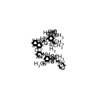 COc1cc(Nc2cc(Oc3ccc(NC(=O)Nc4cc(C(C)(C)C)cc(P(C)(C)=O)c4OC)c4ccccc34)ccn2)cc(S(=O)(=O)N(C)CCN2CCOCC2)c1